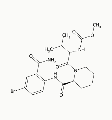 COC(=O)N[C@H](C(=O)N1CCCC[C@H]1C(=O)Nc1ccc(Br)cc1C(N)=O)C(C)C